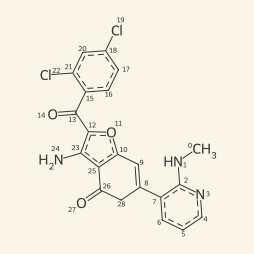 CNc1ncccc1C1=Cc2oc(C(=O)c3ccc(Cl)cc3Cl)c(N)c2C(=O)C1